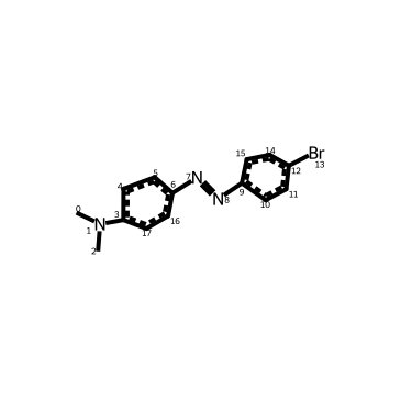 CN(C)c1ccc(/N=N/c2ccc(Br)cc2)cc1